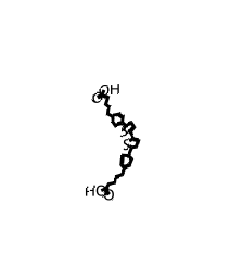 O=C(O)CCCCc1ccc(-c2ccc(C3=CCC(c4ccc(CCCCC(=O)O)cc4)S3)s2)cc1